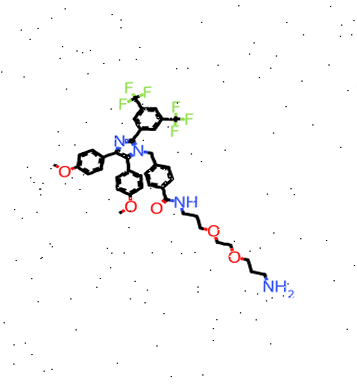 COc1ccc(-c2nc(-c3cc(C(F)(F)F)cc(C(F)(F)F)c3)n(Cc3ccc(C(=O)NCCCOCCOCCCN)cc3)c2-c2ccc(OC)cc2)cc1